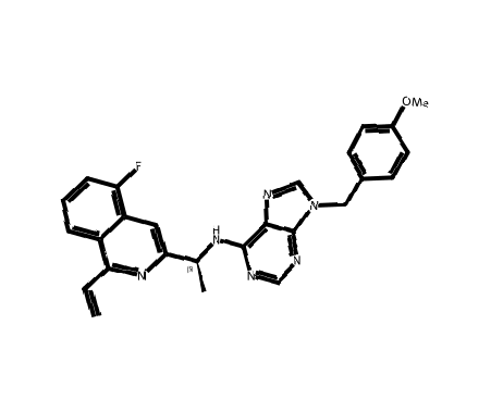 C=Cc1nc([C@H](C)Nc2ncnc3c2ncn3Cc2ccc(OC)cc2)cc2c(F)cccc12